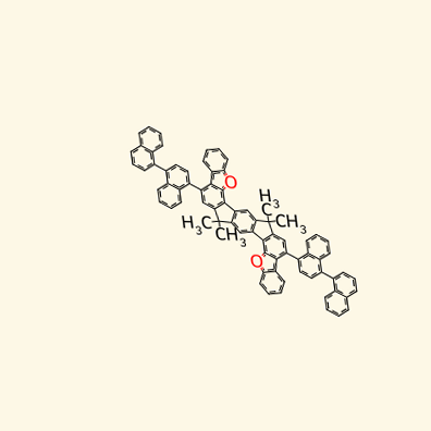 CC1(C)c2cc3c(cc2-c2c1cc(-c1ccc(-c4cccc5ccccc45)c4ccccc14)c1c2oc2ccccc21)C(C)(C)c1cc(-c2ccc(-c4cccc5ccccc45)c4ccccc24)c2c(oc4ccccc42)c1-3